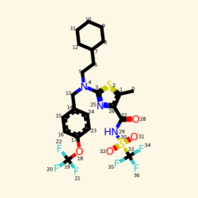 Cc1sc(N(CCC2CCCCC2)Cc2ccc(OC(F)(F)F)cc2)nc1C(=O)NS(=O)(=O)C(F)(F)F